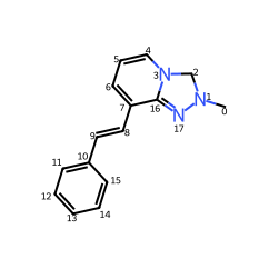 CN1CN2C=CC=C(/C=C/c3ccccc3)C2=N1